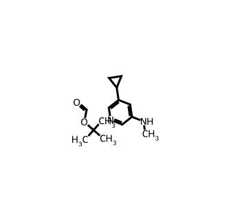 CC(C)(C)OC=O.CNc1cncc(C2CC2)c1